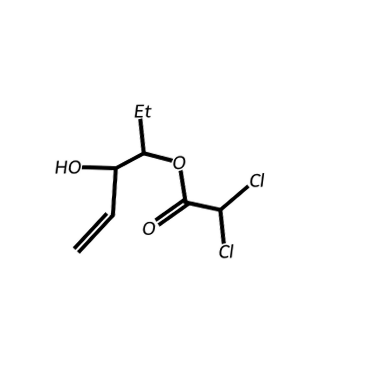 C=CC(O)C(CC)OC(=O)C(Cl)Cl